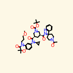 COCCCN1C(=O)C(C)(C)Oc2ccc(N(C(=O)[C@@H]3C[C@H](C(=O)NC4(c5ccccc5)CCN(C(C)=O)CC4)CN(C(=O)OC(C)(C)C)C3)C3CC3)cc21